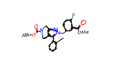 COC(=O)c1cc(Cn2nc3c(c2-c2ccccc2C)CN(C(=O)OC(C)(C)C)C3)ccc1F